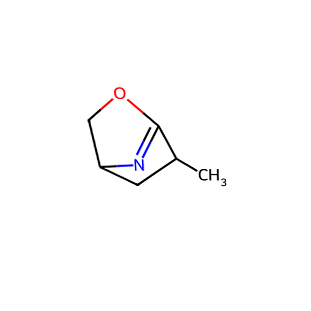 CC1CC2COC1=N2